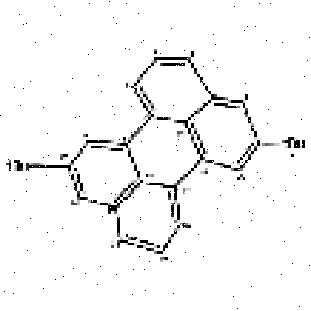 CC(C)(C)c1cc2cccc3c4cc(C(C)(C)C)cc5cccc(c(c1)c23)c54